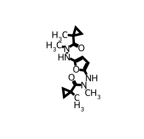 CN(Nc1ccc(NN(C)C(=O)C2(C)CC2)o1)C(=O)C1(C)CC1